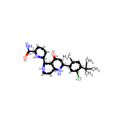 Cc1cc(C(C)(C)C)c(Cl)cc1-c1cc(=O)c2c(-c3cccc(C(N)=O)n3)nccc2[nH]1